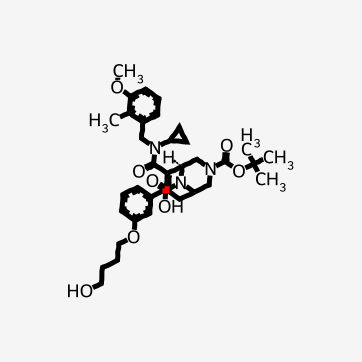 COc1cccc(CN(C(=O)C2=C(c3cccc(OCCCCO)c3)CC3CN(C(=O)OC(C)(C)C)C[C@H]2N3C(=O)O)C2CC2)c1C